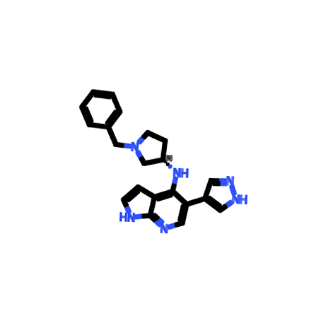 c1ccc(CN2CC[C@H](Nc3c(-c4cn[nH]c4)cnc4[nH]ccc34)C2)cc1